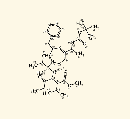 CCC(=O)N(C(=O)[C@@](N)(C(C)C)N1CCC(C(C)NC(=O)OC(C)(C)C)=CC(Cc2ccccc2)C1)[C@H](C(=O)OC)C(C)C